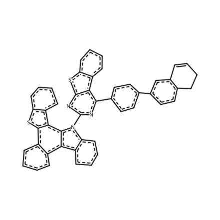 C1=Cc2cc(-c3ccc(-c4nc(-n5c6ccccc6c6c7ccccc7c7sc8ccccc8c7c65)nc5sc6ccccc6c45)cc3)ccc2CC1